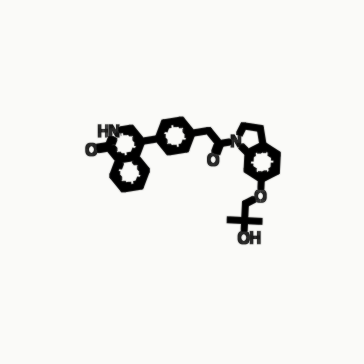 CC(C)(O)COc1ccc2c(c1)N(C(=O)Cc1ccc(-c3c[nH]c(=O)c4ccccc34)cc1)CC2